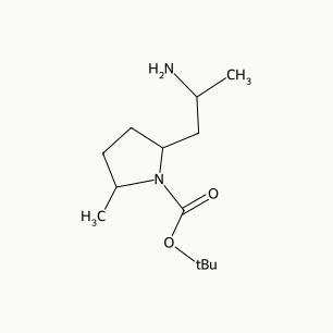 CC(N)CC1CCC(C)N1C(=O)OC(C)(C)C